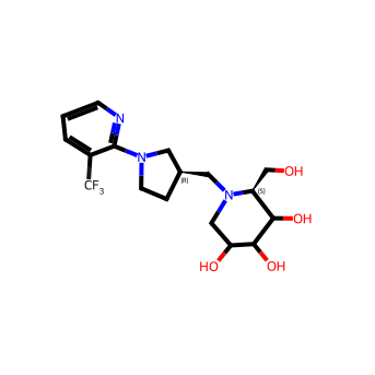 OC[C@H]1C(O)C(O)C(O)CN1C[C@H]1CCN(c2ncccc2C(F)(F)F)C1